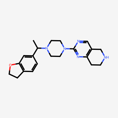 CC(c1ccc2c(c1)OCC2)N1CCN(c2ncc3c(n2)CCNC3)CC1